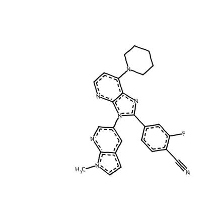 Cn1ccc2cc(-n3c(-c4ccc(C#N)c(F)c4)nc4c(N5CCCCC5)ccnc43)cnc21